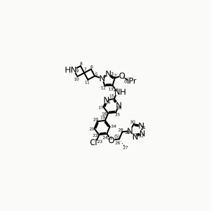 CC(C)Oc1nn(C2CC3(CNC3)C2)cc1Nc1ncc(-c2ccc(Cl)c(O[C@@H](C)Cn3cnnn3)c2)cn1